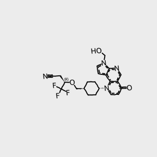 N#CC[C@@H](OC[C@H]1CC[C@H](n2ccc(=O)c3cnc4c(ccn4CO)c32)CC1)C(F)(F)F